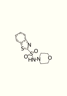 O=S(=O)(NN1CCOCC1)c1nc2ccccc2s1